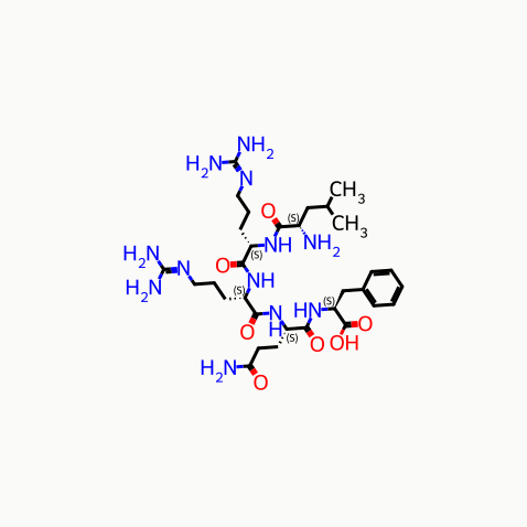 CC(C)C[C@H](N)C(=O)N[C@@H](CCCN=C(N)N)C(=O)N[C@@H](CCCN=C(N)N)C(=O)N[C@@H](CCC(N)=O)C(=O)N[C@@H](Cc1ccccc1)C(=O)O